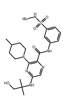 CC1CCN(c2nc(NC(C)(C)CO)cnc2C(=O)Nc2cccc(S(=O)(=O)NC(C)(C)C)c2)CC1